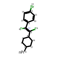 CCCC1CCC(/C(F)=C(\F)c2ccc(Br)cc2)CC1